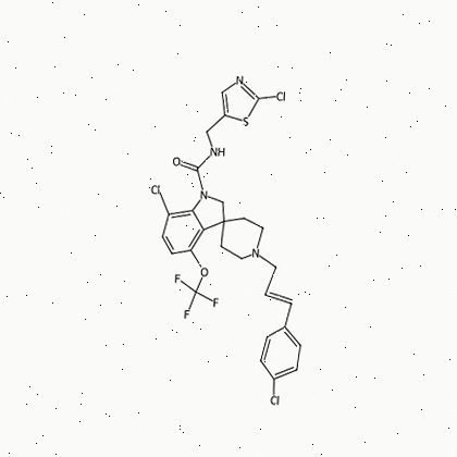 O=C(NCc1cnc(Cl)s1)N1CC2(CCN(CC=Cc3ccc(Cl)cc3)CC2)c2c(OC(F)(F)F)ccc(Cl)c21